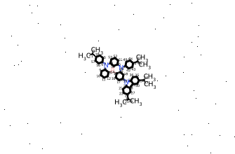 CC(C)c1ccc(N2c3ccccc3B3c4ccc(-n5c6ccc(C(C)C)cc6c6cc(C(C)C)ccc65)cc4N(c4ccc(C(C)C)cc4)c4cccc2c43)cc1